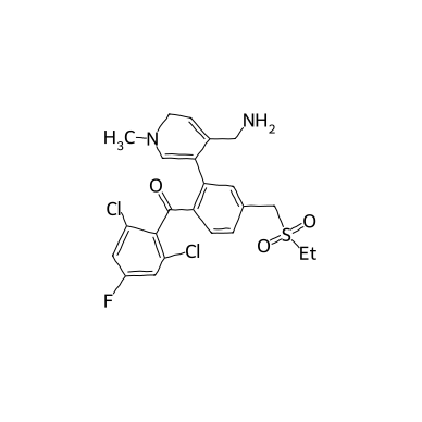 CCS(=O)(=O)Cc1ccc(C(=O)c2c(Cl)cc(F)cc2Cl)c(C2=CN(C)CC=C2CN)c1